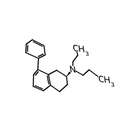 CCCN(CCC)[C@H]1CCc2cccc(-c3ccccc3)c2C1